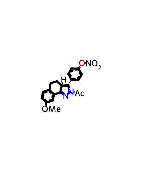 COc1ccc2c(c1)C1=NN(C(C)=O)[C@@H](c3ccc(O[N+](=O)[O-])cc3)[C@@H]1CC2